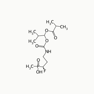 CC(C)C(=O)OC(OC(=O)NCC[C@@H](F)P(C)(=O)O)C(C)C